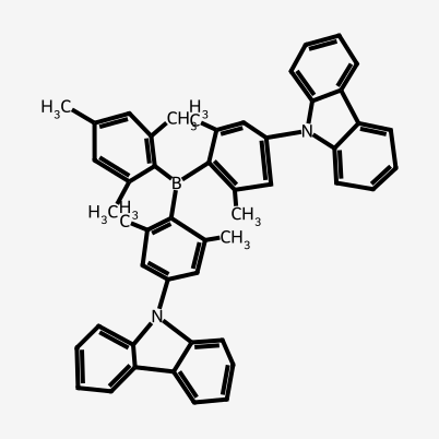 Cc1cc(C)c(B(c2c(C)cc(-n3c4ccccc4c4ccccc43)cc2C)c2c(C)cc(-n3c4ccccc4c4ccccc43)cc2C)c(C)c1